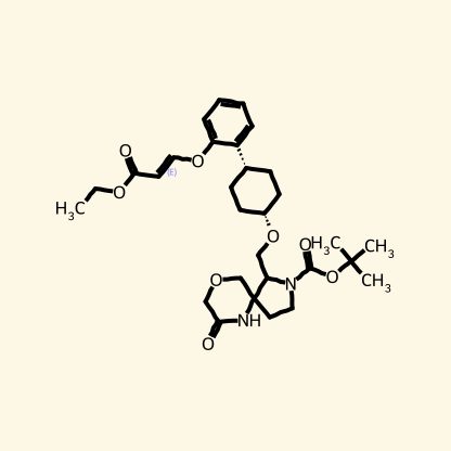 CCOC(=O)/C=C/Oc1ccccc1[C@H]1CC[C@@H](OCC2N(C(=O)OC(C)(C)C)CCC23COCC(=O)N3)CC1